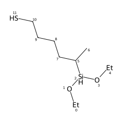 CCO[SiH](OCC)C(C)CCCCS